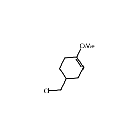 COC1=CCC(CCl)CC1